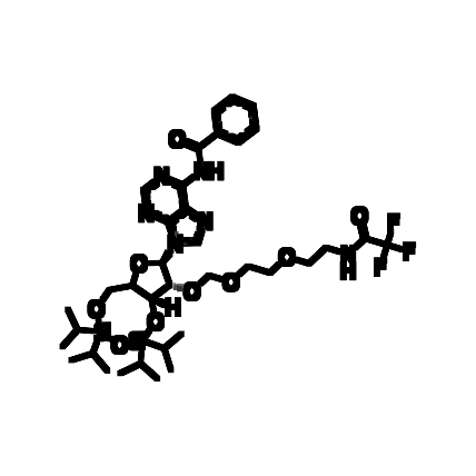 CC(C)[Si]1(C(C)C)OCC2O[C@@H](n3cnc4c(NC(=O)c5ccccc5)ncnc43)[C@H](OCOCCOCCNC(=O)C(F)(F)F)[C@@H]2O[Si](C(C)C)(C(C)C)O1